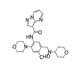 CN(Cc1cc(NC(=O)c2cnn3cccnc23)c(N2CCOCC2)cc1C=O)C1CCOCC1